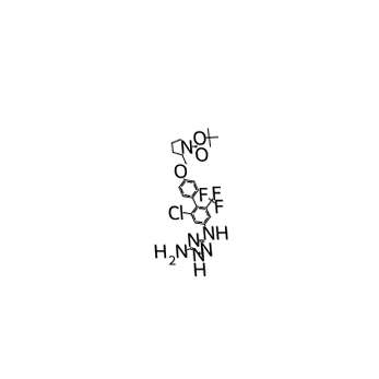 CC(C)(C)OC(=O)N1CCCC1COc1ccc(-c2c(Cl)cc(Nc3n[nH]c(N)n3)cc2C(F)(F)F)cc1